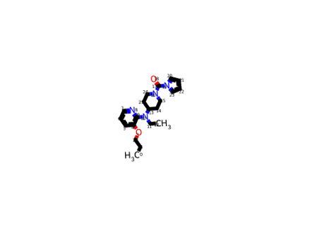 CCCOc1cccnc1N(CC)C1CCN(C(=O)n2cccc2)CC1